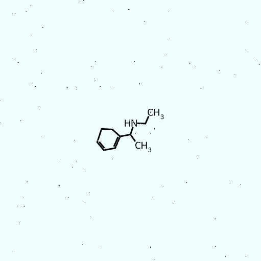 CCNC(C)C1=CC=CCC1